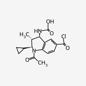 CC(=O)N1c2ccc(C(=O)Cl)cc2[C@H](NC(=O)O)[C@@H](C)[C@@H]1C1CC1